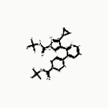 CC(C)(C)OC(=O)N1CC=C(c2cccnc2-c2cn(C(=O)OC(C)(C)C)nc2C2CC2)CC1